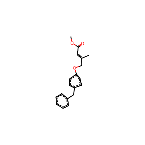 COC(=O)C=C(C)COc1ccc(Cc2ccccc2)cc1